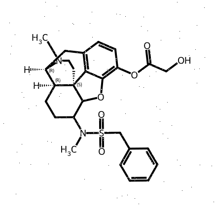 CN1CC[C@]23c4c5ccc(OC(=O)CO)c4OC2C(N(C)S(=O)(=O)Cc2ccccc2)CC[C@H]3[C@H]1C5